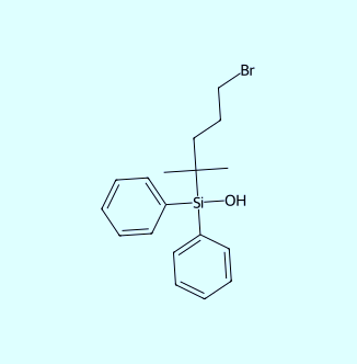 CC(C)(CCCBr)[Si](O)(c1ccccc1)c1ccccc1